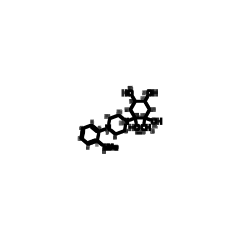 CSc1ccccc1N1CCN(C2(O)CC(O)C(O)CC2(C)O)CC1